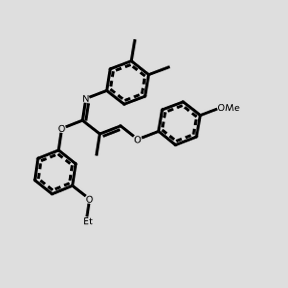 CCOc1cccc(OC(=N/c2ccc(C)c(C)c2)/C(C)=C/Oc2ccc(OC)cc2)c1